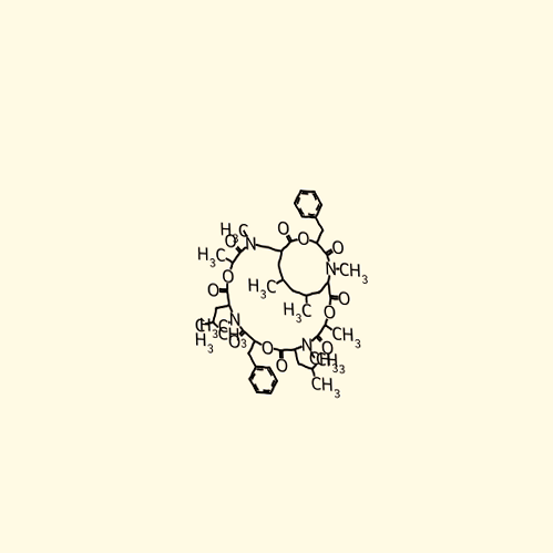 CC(C)CC1C(=O)OC(Cc2ccccc2)C(=O)N(C)C(CC(C)C)C(=O)OC(C)C(=O)N(C)C2CC(C)CC(C)CC(C(=O)OC(C)C(=O)N1C)N(C)C(=O)C(Cc1ccccc1)OC2=O